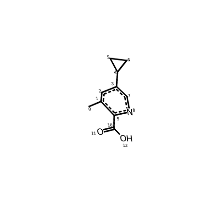 Cc1cc(C2CC2)cnc1C(=O)O